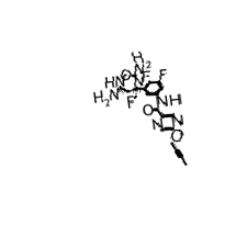 CC#CCOc1cnc(C(=O)Nc2cc(F)c(F)c([C@@]3(CF)C[C@H](N)NOC(N)=N3)c2)cn1